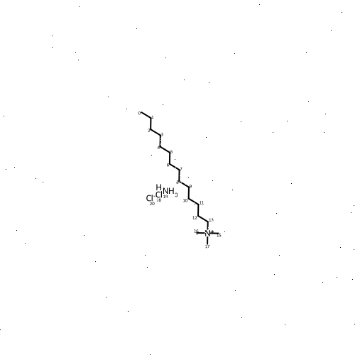 CCCCCCCCCCCCCC[N+](C)(C)C.Cl.N.[Cl-]